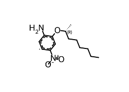 CCCCCC[C@@H](C)Oc1cc([N+](=O)[O-])[c]cc1N